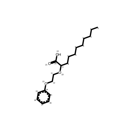 CCCCCCCCCC(OCCOc1ccccc1)C(=O)O